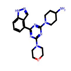 NC1CCN(c2nc(-c3cccc4[nH]ncc34)nc(N3CCOCC3)n2)CC1